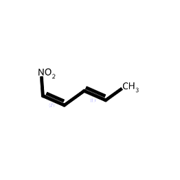 C/C=C/C=C\[N+](=O)[O-]